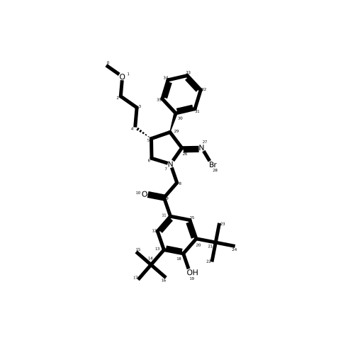 COCCC[C@H]1CN(CC(=O)c2cc(C(C)(C)C)c(O)c(C(C)(C)C)c2)/C(=N\Br)[C@@H]1c1ccccc1